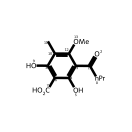 CCCC(=O)c1c(O)c(C(=O)O)c(O)c(C)c1OC